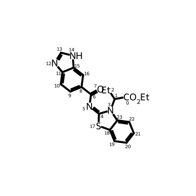 CCOC(=O)C(CC)n1/c(=N\C(=O)c2ccc3nc[nH]c3c2)sc2ccccc21